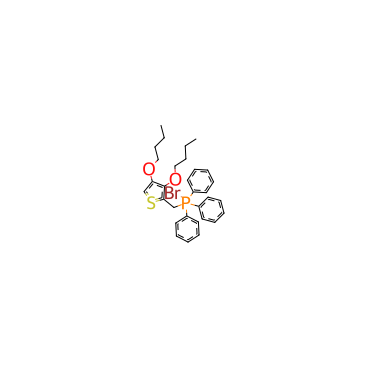 CCCCOc1csc(CP(Br)(c2ccccc2)(c2ccccc2)c2ccccc2)c1OCCCC